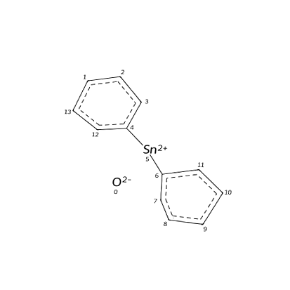 [O-2].c1cc[c]([Sn+2][c]2ccccc2)cc1